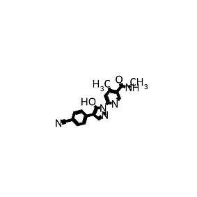 CNC(=O)c1cnc(-n2ncc(-c3ccc(C#N)cc3)c2O)cc1C